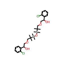 CC(C)(COCC(O)c1ccccc1Cl)[Si](C)(C)O[Si](C)(C)C(C)(C)COCC(O)c1ccccc1Cl